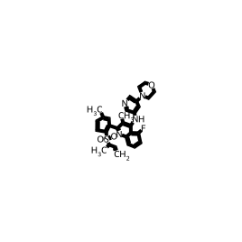 C=CC(C)S(=O)(=O)c1ccc(C)cc1-c1nc2cccc(F)c2c(Nc2cncc(N3CCOCC3)c2)c1C